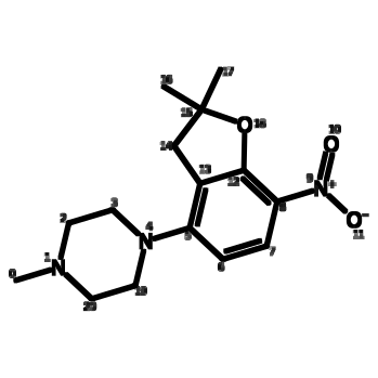 CN1CCN(c2ccc([N+](=O)[O-])c3c2CC(C)(C)O3)CC1